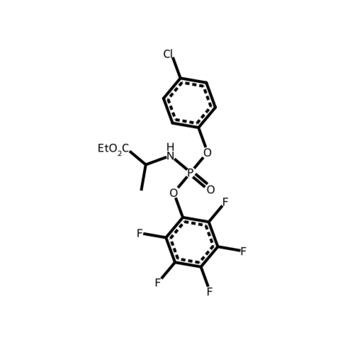 CCOC(=O)C(C)NP(=O)(Oc1ccc(Cl)cc1)Oc1c(F)c(F)c(F)c(F)c1F